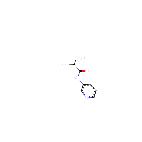 CC(C(=O)O)C(=O)Nc1cccnc1